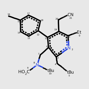 CCc1nc(CC(C)(C)C)c(CN(C(=O)O)C(C)(C)C)c(-c2ccc(C)cc2)c1CC#N